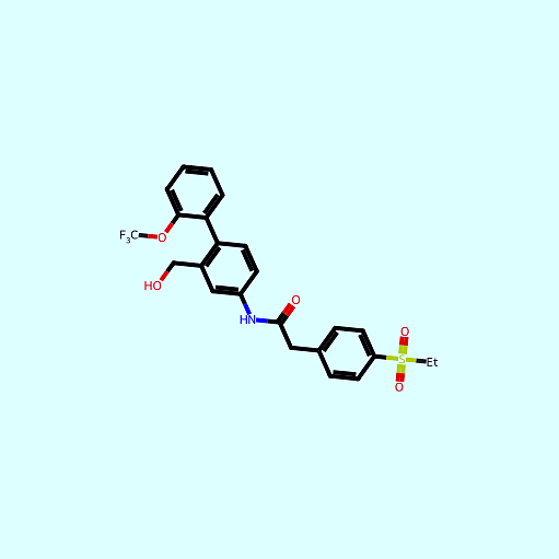 CCS(=O)(=O)c1ccc(CC(=O)Nc2ccc(-c3ccccc3OC(F)(F)F)c(CO)c2)cc1